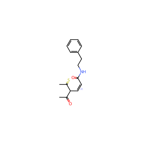 CC(=O)C(/C=C\C(=O)NCCc1ccccc1)C(C)=S